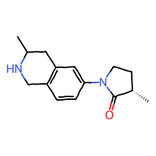 CC1Cc2cc(N3CC[C@H](C)C3=O)ccc2CN1